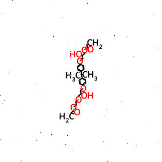 C=CC(=O)OCCOCC(O)COc1ccc(C(C)(C)c2ccc(OCC(O)COC(=O)C=C)cc2)cc1